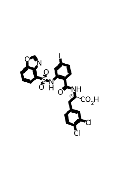 O=C(N[C@@H](Cc1ccc(Cl)c(Cl)c1)C(=O)O)c1ccc(I)cc1NS(=O)(=O)c1cccc2ocnc12